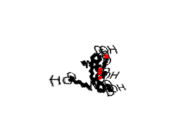 CCN1/C(=C/C=C/C2=[N+](CCCCCC(=O)O)c3ccc(S(=O)(=O)O)cc3C2(C)CCOCCOC)C(C)(CCCS(=O)(=O)O)c2cc(S(=O)(=O)O)ccc21